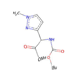 COC(=O)C(NC(=O)OC(C)(C)C)c1ccn(C)n1